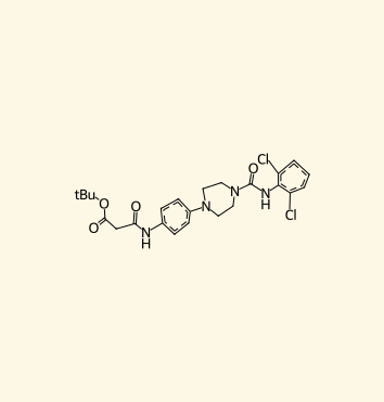 CC(C)(C)OC(=O)CC(=O)Nc1ccc(N2CCN(C(=O)Nc3c(Cl)cccc3Cl)CC2)cc1